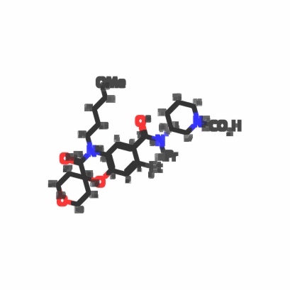 CCc1cc2c(cc1C(=O)N(C(C)C)[C@@H]1CCCN(C(=O)O)C1)N(CCCCOC)C(=O)C1(CCOCC1)O2